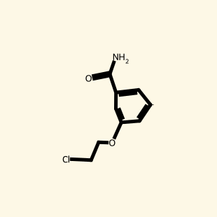 NC(=O)c1c[c]cc(OCCCl)c1